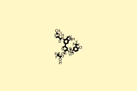 COc1ncc(-c2cc(NC(=O)c3csc(C)n3)c3cn[nH]c3c2)cc1NS(=O)(=O)c1ccc(Cl)c(C(F)(F)F)c1.O=C(O)C(F)(F)F